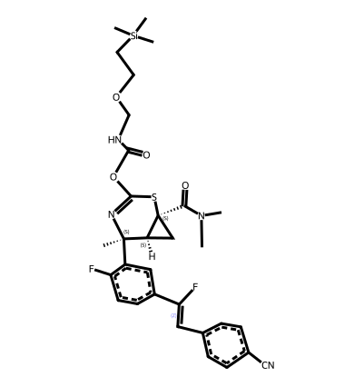 CN(C)C(=O)[C@]12C[C@H]1[C@@](C)(c1cc(/C(F)=C/c3ccc(C#N)cc3)ccc1F)N=C(OC(=O)NCOCC[Si](C)(C)C)S2